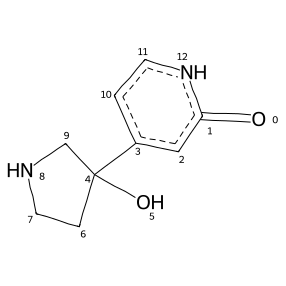 O=c1cc(C2(O)CCNC2)cc[nH]1